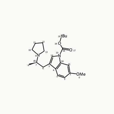 COc1ccc2c(C[C@@H](C)N3CCCC3)cn(C(=O)OC(C)(C)C)c2c1